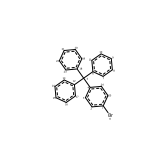 Brc1ccc(C(c2ccccc2)(c2ccccc2)c2ccccc2)cc1